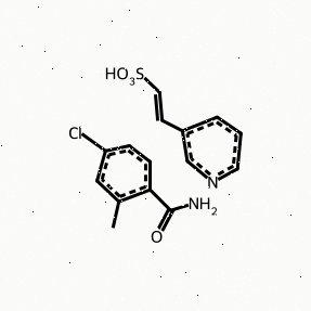 Cc1cc(Cl)ccc1C(N)=O.O=S(=O)(O)/C=C/c1cccnc1